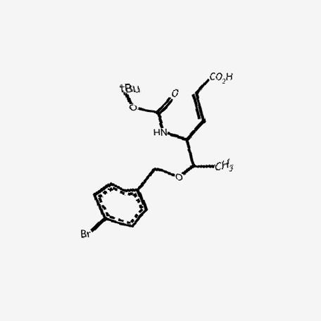 CC(OCc1ccc(Br)cc1)C(/C=C/C(=O)O)NC(=O)OC(C)(C)C